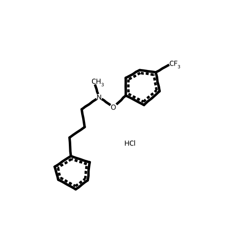 CN(CCCc1ccccc1)Oc1ccc(C(F)(F)F)cc1.Cl